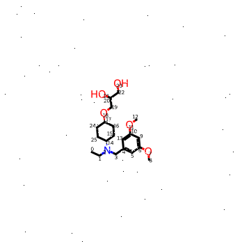 CCN(Cc1cc(OC)cc(OC)c1)[C@H]1CC[C@H](OCC(O)CO)CC1